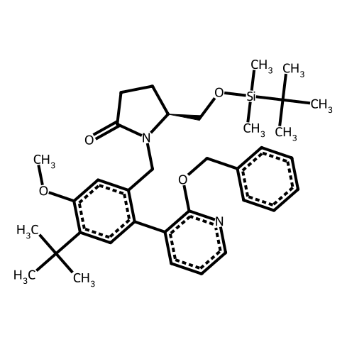 COc1cc(CN2C(=O)CC[C@H]2CO[Si](C)(C)C(C)(C)C)c(-c2cccnc2OCc2ccccc2)cc1C(C)(C)C